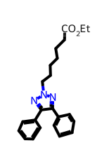 CCOC(=O)CCCCCCn1nc(-c2ccccc2)c(-c2ccccc2)n1